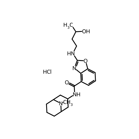 CC(O)CCNc1nc2c(C(=O)NC3CC4CCCC(C3)N4C)cccc2o1.Cl